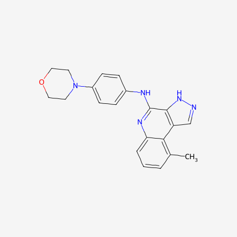 Cc1cccc2nc(Nc3ccc(N4CCOCC4)cc3)c3[nH]ncc3c12